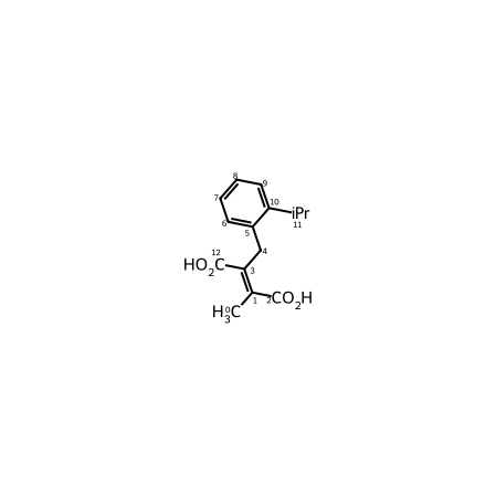 C/C(C(=O)O)=C(/Cc1ccccc1C(C)C)C(=O)O